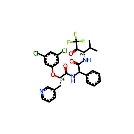 CC(C)[C@H](NC(=O)C(NC(=O)[C@H](Cc1cccnc1)Oc1cc(Cl)cc(Cl)c1)c1ccccc1)C(=O)C(F)(F)F